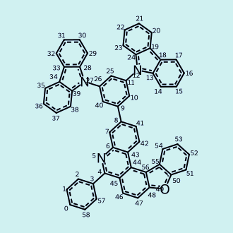 c1ccc(-c2nc3cc(-c4cc(-n5c6ccccc6c6ccccc65)cc(-n5c6ccccc6c6ccccc65)c4)ccc3c3c2ccc2oc4ccccc4c23)cc1